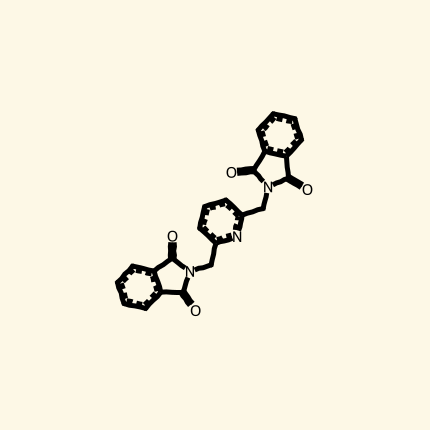 O=C1c2ccccc2C(=O)N1Cc1cccc(CN2C(=O)c3ccccc3C2=O)n1